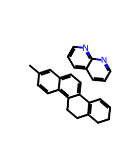 Cc1ccc2c3c(ccc2c1)C1=C(CCC=C1)CC3.c1cnc2ncccc2c1